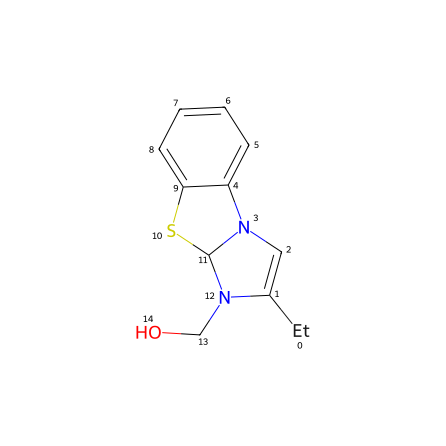 CCC1=CN2c3ccccc3SC2N1CO